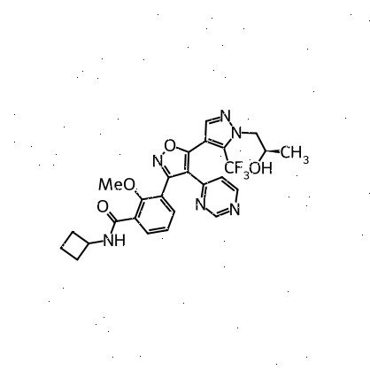 COc1c(C(=O)NC2CCC2)cccc1-c1noc(-c2cnn(C[C@@H](C)O)c2C(F)(F)F)c1-c1ccncn1